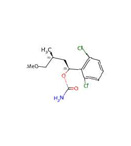 COC[C@@H](C)C[C@H](OC(N)=O)c1c(Cl)cccc1Cl